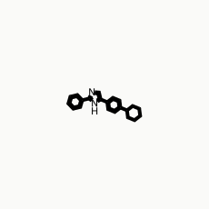 c1ccc(-c2ncc(-c3ccc(C4CCCCC4)cc3)[nH]2)cc1